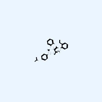 CCc1ccccc1-n1nc(C)cc1Oc1ccccc1NC(=O)Nc1ccc(OC(C)C)cc1